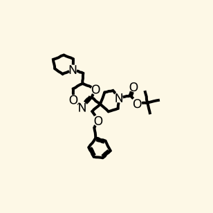 CC(C)(C)OC(=O)N1CCC(COCc2ccccc2)(C2=NOCC(CN3CCCCC3)O2)CC1